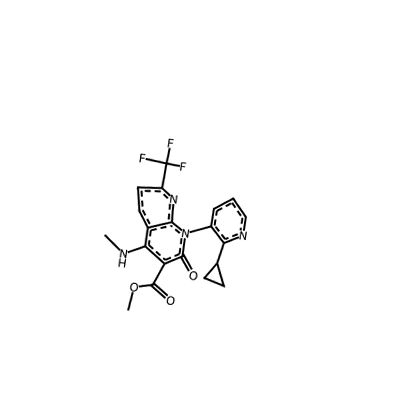 CNc1c(C(=O)OC)c(=O)n(-c2cccnc2C2CC2)c2nc(C(F)(F)F)ccc12